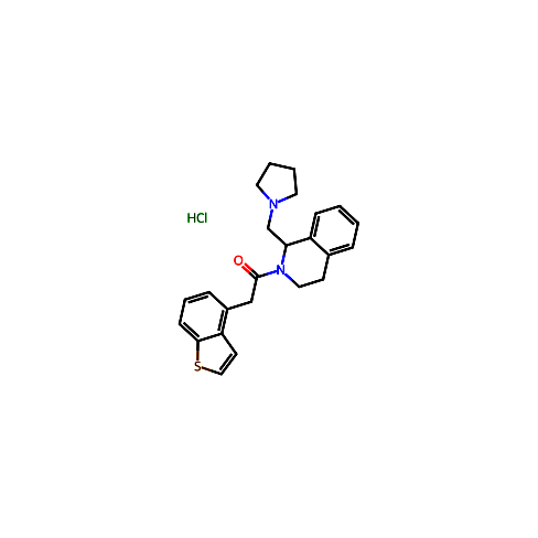 Cl.O=C(Cc1cccc2sccc12)N1CCc2ccccc2C1CN1CCCC1